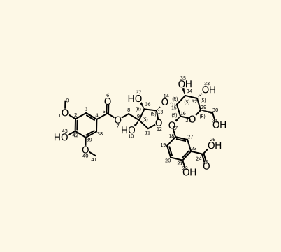 COc1cc(C(=O)OC[C@@]2(O)CO[C@@H](O[C@H]3[C@H](Oc4ccc(O)c(C(=O)O)c4)O[C@H](CO)[C@@H](O)[C@@H]3O)[C@@H]2O)cc(OC)c1O